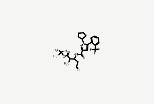 CC(C(=O)OC(C)(C)C)C(CC=O)NC(=O)c1cc(-c2ccccc2C(F)(F)F)n(C2CCCC2)n1